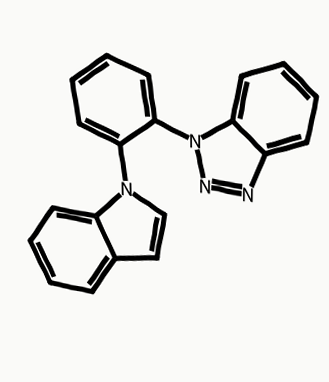 c1ccc(-n2nnc3ccccc32)c(-n2ccc3ccccc32)c1